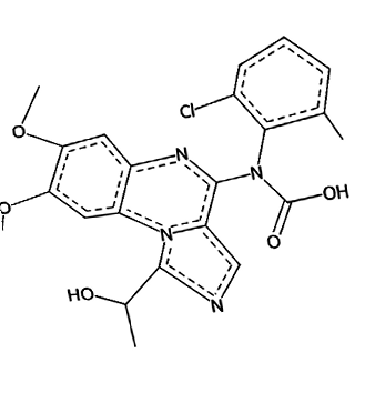 COc1cc2nc(N(C(=O)O)c3c(C)cccc3Cl)c3cnc(C(C)O)n3c2cc1OC